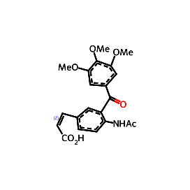 COc1cc(C(=O)c2cc(/C=C\C(=O)O)ccc2NC(C)=O)cc(OC)c1OC